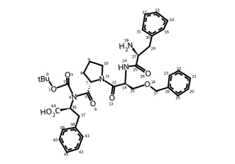 CC(C)(C)OC(=O)N(C(=O)[C@@H]1CCCN1C(=O)[C@H](COCc1ccccc1)NC(=O)[C@@H](N)Cc1ccccc1)[C@@H](Cc1ccccc1)C(=O)O